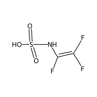 O=S(=O)(O)NC(F)=C(F)F